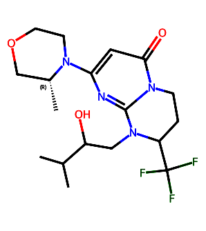 CC(C)C(O)CN1c2nc(N3CCOC[C@H]3C)cc(=O)n2CCC1C(F)(F)F